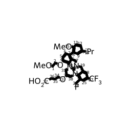 COCCOc1ccc(-c2cc(C(C)C)ccc2OC)c(CN(Cc2cc(CF)cc(C(F)(F)F)c2)c2ncc(OCCCC(=O)O)cn2)c1